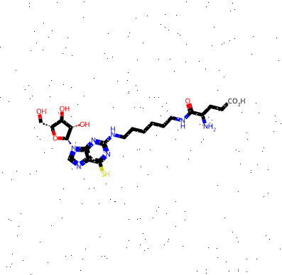 NC(CCC(=O)O)C(=O)NCCCCCCNc1nc(S)c2ncn([C@@H]3O[C@H](CO)C(O)[C@@H]3O)c2n1